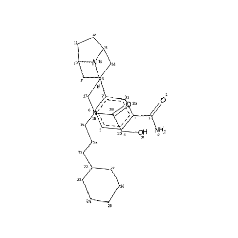 NC(=O)c1cccc(C2CC3CCC(C2)N3CCN(CCCC2CCCCC2)C(=O)CO)c1